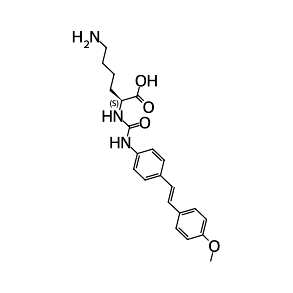 COc1ccc(C=Cc2ccc(NC(=O)N[C@@H](CCCCN)C(=O)O)cc2)cc1